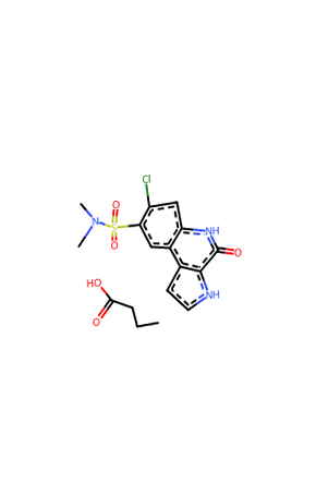 CCCC(=O)O.CN(C)S(=O)(=O)c1cc2c(cc1Cl)[nH]c(=O)c1[nH]ccc12